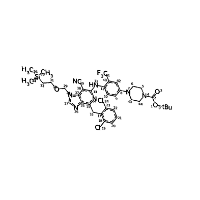 CC(C)(C)OC(=O)N1CCN(c2ccc(Nc3nc(Cc4c(Cl)cccc4Cl)c4ncn(COCC[Si](C)(C)C)c4c3C#N)c(C(F)(F)F)c2)CC1